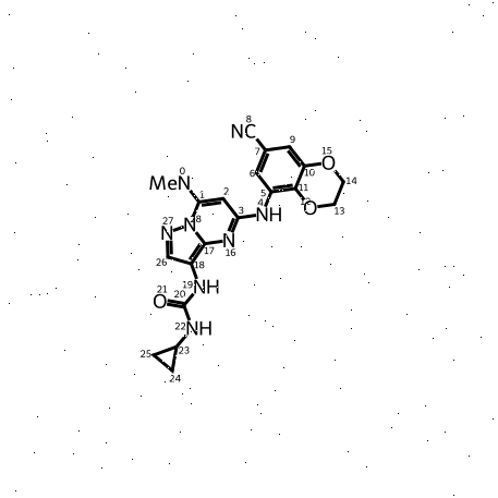 CNc1cc(Nc2cc(C#N)cc3c2OCCO3)nc2c(NC(=O)NC3CC3)cnn12